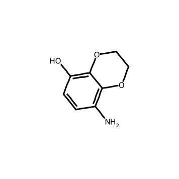 Nc1ccc(O)c2c1OCCO2